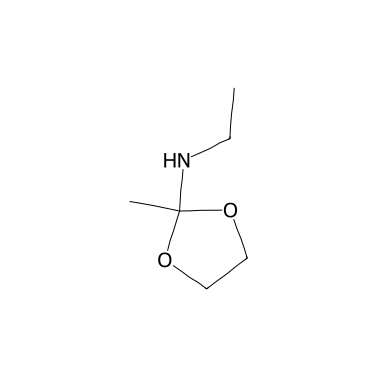 CCNC1(C)OCCO1